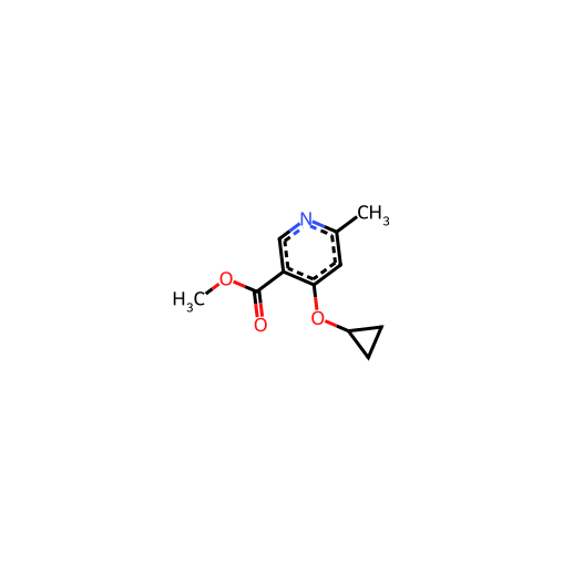 COC(=O)c1cnc(C)cc1OC1CC1